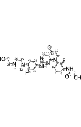 C=CC(=O)Nc1cccc(-n2ccc(=O)c3cnc(Nc4ccc(N5CCN(CCO)CC5)c(F)c4)nc32)c1F